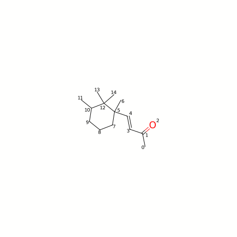 CC(=O)C=CC1(C)CCCC(C)C1(C)C